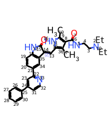 CCN(CC)CCNC(=O)c1c(C)[nH]c(/C=C2\C(=O)Nc3ccc(-c4cc(-c5ccccc5)ccn4)cc32)c1C